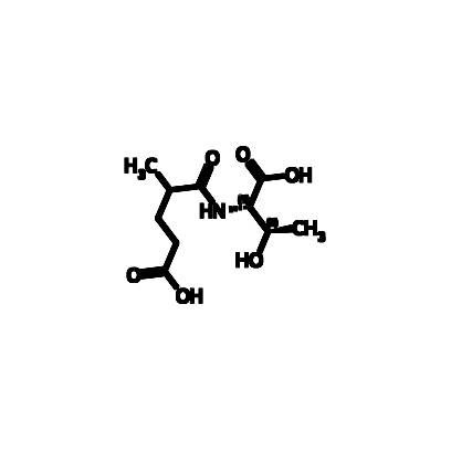 CC(CCC(=O)O)C(=O)N[C@H](C(=O)O)[C@@H](C)O